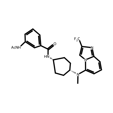 CC(=O)Nc1cccc(C(=O)N[C@H]2CC[C@@H](N(C)c3cccc4nc(C(F)(F)F)cn34)CC2)c1